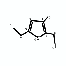 Cc1cc(CI)sc1CI